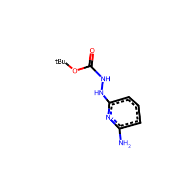 CC(C)(C)OC(=O)NNc1cccc(N)n1